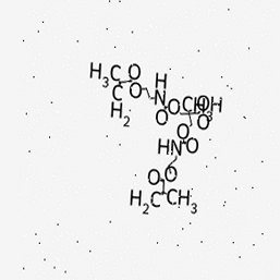 C=C(C)C(=O)OCCNC(=O)OCC(C)(COC(=O)NCCOC(=O)C(=C)C)C(=O)O